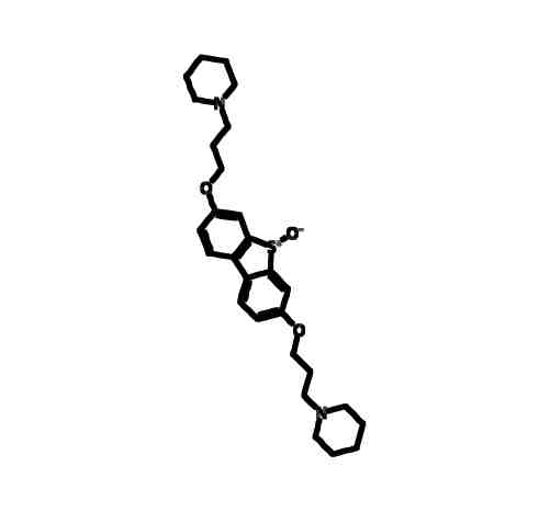 [O-][s+]1c2cc(OCCCN3CCCCC3)ccc2c2ccc(OCCCN3CCCCC3)cc21